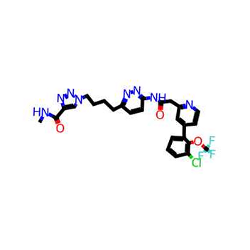 CNC(=O)c1cn(CCCCc2ccc(NC(=O)Cc3cc(-c4cccc(Cl)c4OC(F)(F)F)ccn3)nn2)nn1